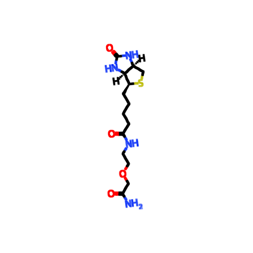 NC(=O)COCCNC(=O)CCCC[C@@H]1SC[C@@H]2NC(=O)N[C@@H]21